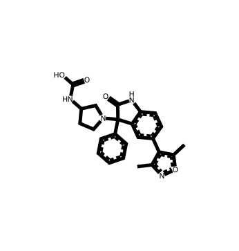 Cc1noc(C)c1-c1ccc2c(c1)C(c1ccccc1)(N1CCC(NC(=O)O)C1)C(=O)N2